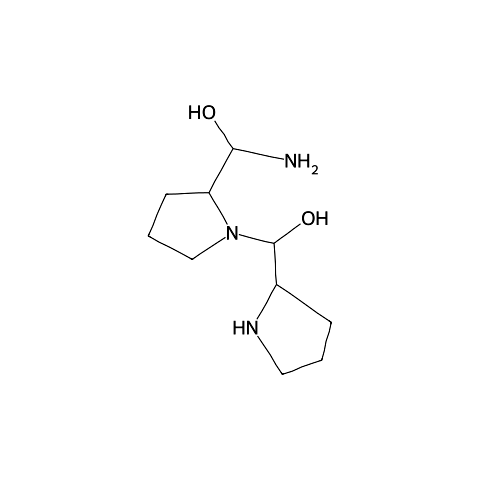 NC(O)C1CCCN1C(O)C1CCCN1